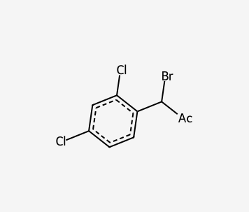 CC(=O)C(Br)c1ccc(Cl)cc1Cl